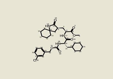 COC(=O)[C@H](C[C@H]1CC2(CCCCC2)NC1=O)NC(=O)[C@H](CC1CCCCC1)NC(=O)OCc1cccc(Cl)c1